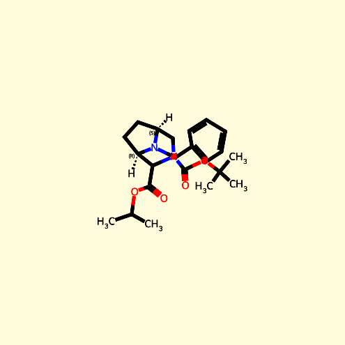 CC(C)OC(=O)C1[C@H]2CC[C@@H](CN1C(=O)OC(C)(C)C)N2Cc1ccccc1